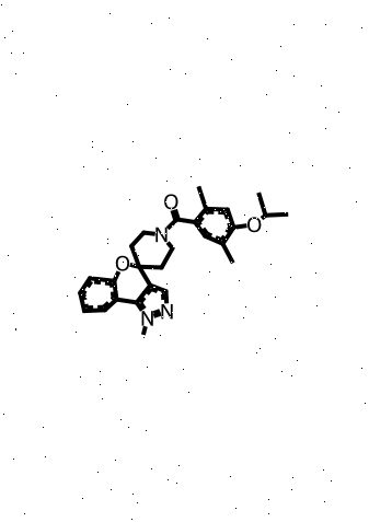 Cc1cc(C(=O)N2CCC3(CC2)Oc2ccccc2-c2c3cnn2C)c(C)cc1OC(C)C